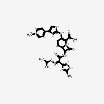 CC(C)O/N=C(\C(=O)NC1C(=O)N2C(C(=O)O)=C(Sc3nc(-c4cc[n+](C)cc4)cs3)CCC12)c1nsc(N)n1